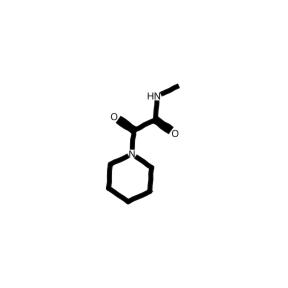 CNC(=O)C(=O)N1C[CH]CCC1